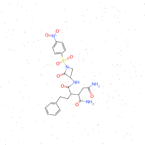 NC(=O)CC(C(N)=O)C(CCc1ccccc1)C(=O)NC1CN(S(=O)(=O)c2ccc([N+](=O)[O-])cc2)C1=O